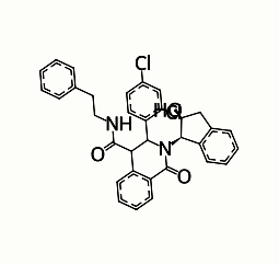 O=C(NCCc1ccccc1)C1c2ccccc2C(=O)N([C@@H]2c3ccccc3C[C@@H]2O)C1c1ccc(Cl)cc1Cl